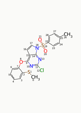 CSc1ccccc1Oc1nc(Cl)nc2c1ccn2S(=O)(=O)c1ccc(C)cc1